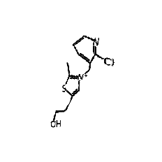 Cc1sc(CCO)c[n+]1Cc1cccnc1Cl